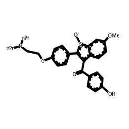 CCCN(CCC)CCOc1ccc(-c2c(C(=O)c3ccc(O)cc3)c3ccc(OC)cc3[s+]2[O-])cc1